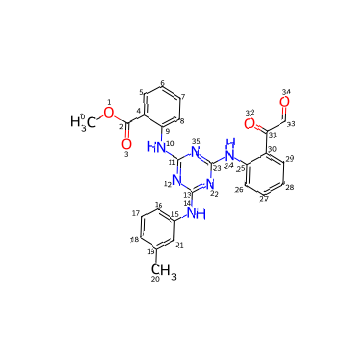 COC(=O)c1ccccc1Nc1nc(Nc2cccc(C)c2)nc(Nc2ccccc2C(=O)C=O)n1